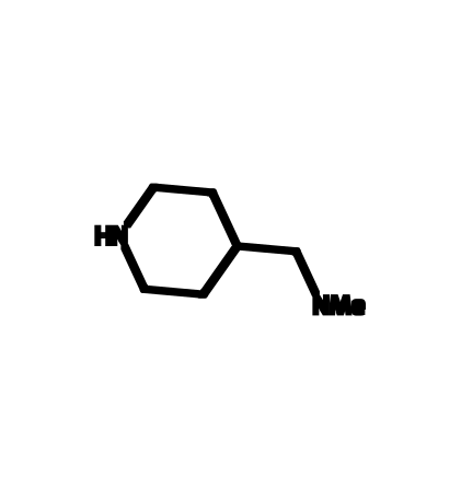 [CH2-][NH2+]CC1CCNCC1